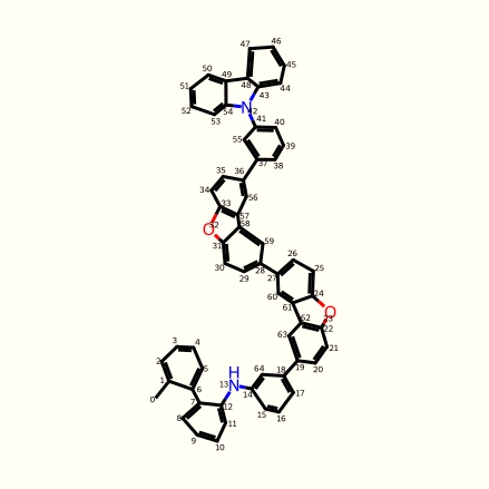 Cc1ccccc1-c1ccccc1Nc1cccc(-c2ccc3oc4ccc(-c5ccc6oc7ccc(-c8cccc(-n9c%10ccccc%10c%10ccccc%109)c8)cc7c6c5)cc4c3c2)c1